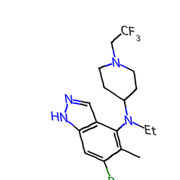 CCN(c1c(C)c(Br)cc2[nH]ncc12)C1CCN(CC(F)(F)F)CC1